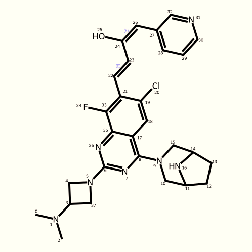 CN(C)C1CN(c2nc(N3CC4CCC(C3)N4)c3cc(Cl)c(/C=C/C(O)=C\c4cccnc4)c(F)c3n2)C1